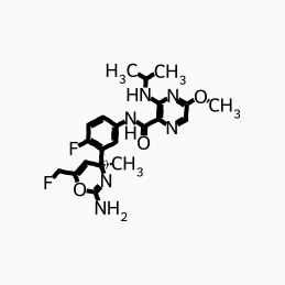 COc1cnc(C(=O)Nc2ccc(F)c([C@]3(C)C=C(CF)OC(N)=N3)c2)c(NC(C)C)n1